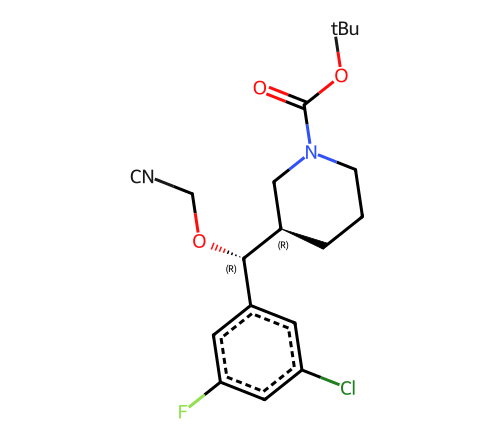 [C-]#[N+]CO[C@@H](c1cc(F)cc(Cl)c1)[C@@H]1CCCN(C(=O)OC(C)(C)C)C1